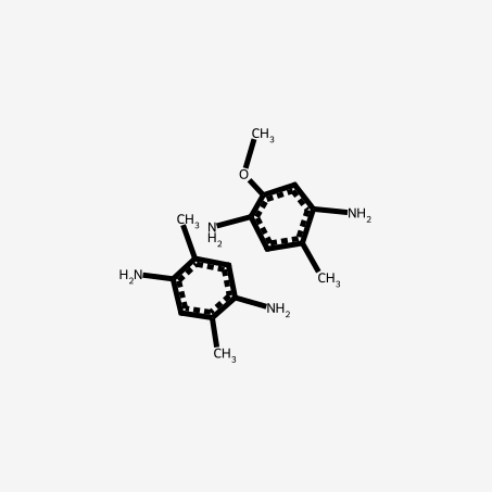 COc1cc(N)c(C)cc1N.Cc1cc(N)c(C)cc1N